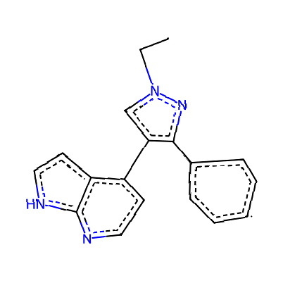 CCn1cc(-c2ccnc3[nH]ccc23)c(-c2cc[c]cc2)n1